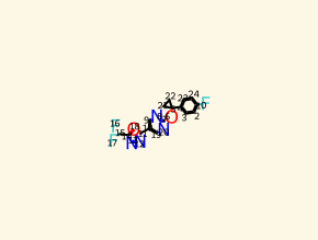 Fc1ccc(C2(Oc3ncc(-c4nnc(C(F)F)o4)cn3)CC2)cc1